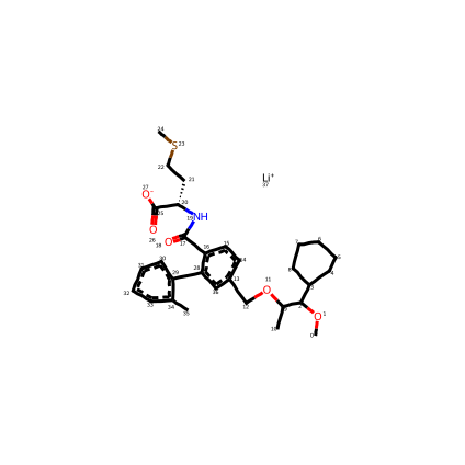 COC(C1CCCCC1)C(C)OCc1ccc(C(=O)N[C@@H](CCSC)C(=O)[O-])c(-c2ccccc2C)c1.[Li+]